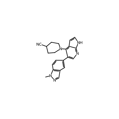 Cn1ncc2cc(-c3cnc4[nH]ccc4c3N3CCC(C#N)CC3)ccc21